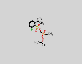 CCP(=O)(COS(=O)(=O)c1c(Cl)cccc1C(C)C)OOC(C)C